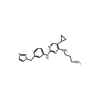 NCCCNc1nc(Nc2cccc(Cn3ccnc3)c2)ncc1C1CC1